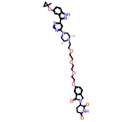 C[C@@H]1CN(c2cc(-c3n[nH]c4ccc(OC5(C)CC5)cc34)ncn2)C[C@H](C)N1CCOCCOCCOCCOc1ccc2c(c1)C(=O)N(C1CCC(=O)NC1=O)C2